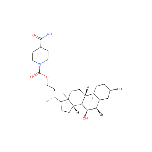 CC[C@@H]1C2C[C@H](O)CC[C@]2(C)[C@H]2CCC3(C)[C@@H]([C@H](C)CCOC(=O)N4CCC(C(N)=O)CC4)CC[C@H]3C2[C@@H]1O